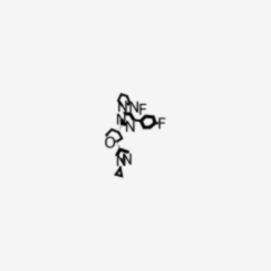 Fc1ccc(-c2nc([C@H]3CCO[C@@H](c4cnn(C5CC5)c4)C3)nc3c2nc2n3CCC2)c(F)c1